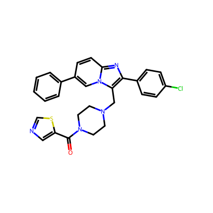 O=C(c1cncs1)N1CCN(Cc2c(-c3ccc(Cl)cc3)nc3ccc(-c4ccccc4)cn23)CC1